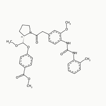 COC(=O)c1ccc(OC(OC)[C@@H]2CCCN2C(=O)Cc2ccc(NC(=O)Nc3ccccc3C)c(OC)c2)cc1